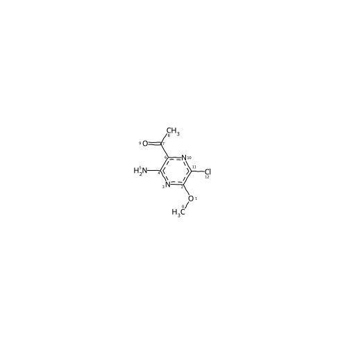 COc1nc(N)c(C(C)=O)nc1Cl